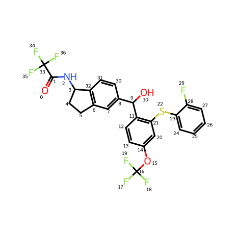 O=C(NC1CCc2cc(C(O)c3ccc(OC(F)(F)F)cc3Sc3ccccc3F)ccc21)C(F)(F)F